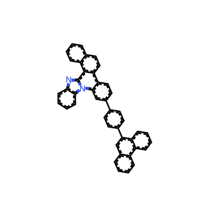 c1ccc2c(c1)cc(-c1ccc(-c3ccc4c5ccc6ccccc6c5c5nc6ccccc6n5c4c3)cc1)c1ccccc12